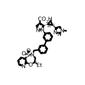 CC[C@@H]1CN(Cc2cccc(-c3cccc(-n4ncc(C(=O)O)c4[C@@H]4C[C@H]4c4cn(C)nn4)c3)c2)S(=O)(=O)c2cccnc2O1